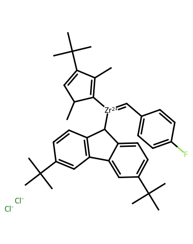 CC1=[C](/[Zr+2](=[CH]/c2ccc(F)cc2)[CH]2c3ccc(C(C)(C)C)cc3-c3cc(C(C)(C)C)ccc32)C(C)C=C1C(C)(C)C.[Cl-].[Cl-]